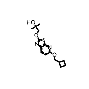 CC(C)(O)COc1nc2ccc(OCC3CCC3)nc2s1